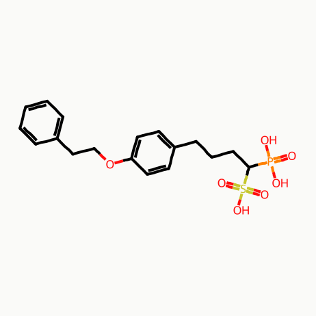 O=P(O)(O)C(CCCc1ccc(OCCc2ccccc2)cc1)S(=O)(=O)O